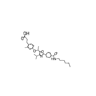 CCCCCCNC(=O)c1ccc(-c2nc(C(C)C)c(C(C)Oc3ccc(CCC(=O)O)c(C)c3)o2)cc1